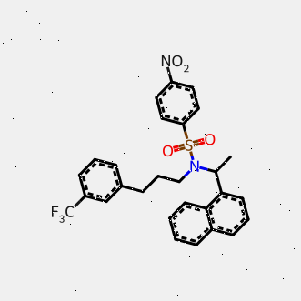 CC(c1cccc2ccccc12)N(CCCc1cccc(C(F)(F)F)c1)S(=O)(=O)c1ccc([N+](=O)[O-])cc1